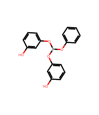 Oc1cccc(OB(Oc2ccccc2)Oc2cccc(O)c2)c1